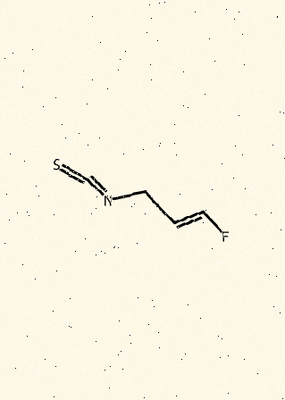 FC=CCN=C=S